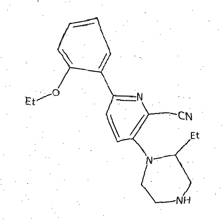 CCOc1ccccc1-c1ccc(N2CCNCC2CC)c(C#N)n1